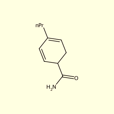 CCCC1=CCC(C(N)=O)C=C1